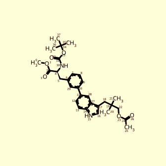 COC(=O)[C@H](Cc1cccc(-c2ccc3[nH]cc(CC(C)(C)COC(C)=O)c3c2)c1)NC(=O)OC(C)(C)C